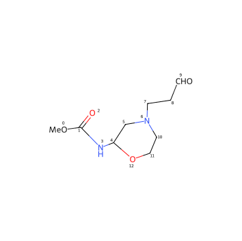 COC(=O)NC1CN(CCC=O)CCO1